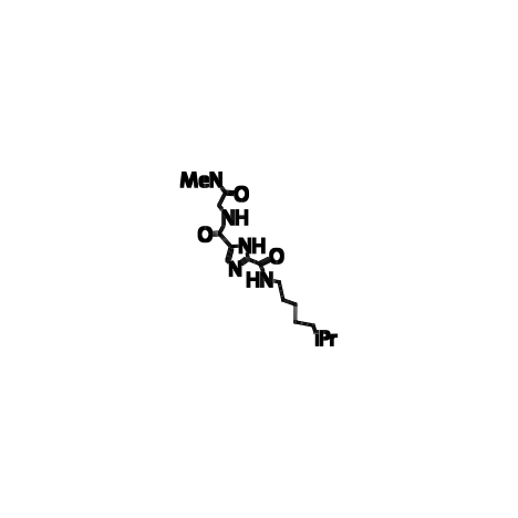 CNC(=O)CNC(=O)c1cnc(C(=O)NCCCCCC(C)C)[nH]1